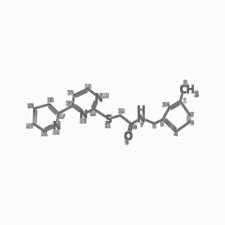 Cc1cccc(CNC(=O)CSc2nccc(-c3ccccn3)n2)c1